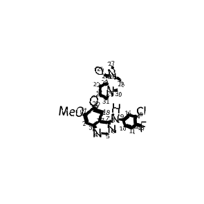 COc1cc2ncnc(Nc3ccc(F)c(Cl)c3)c2cc1O[C@H]1C[C@H](C(=O)N(C)C)N(C)C1